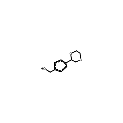 OCc1ccc(C2COCCO2)cc1